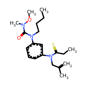 C=C(C)CN(C(=S)CC)c1cccc(N(CCCC)C(=O)N(C)OC)c1